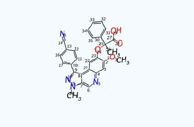 COc1cc2ncc3c(c(-c4ccc(C#N)cc4)nn3C)c2cc1OC(C)(C(=O)O)c1ccccc1